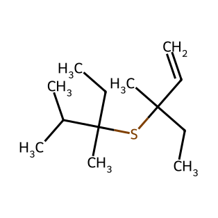 C=CC(C)(CC)SC(C)(CC)C(C)C